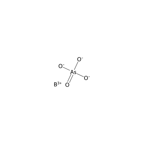 O=[As]([O-])([O-])[O-].[B+3]